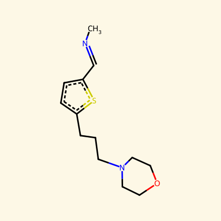 C/N=C/c1ccc(CCCN2CCOCC2)s1